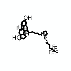 C[C@]1(O)CC[C@H]2[C@@H]3[C@H](CCCCCN4CCC[C@H]4CSCCCC(F)(F)C(F)(F)F)Cc4cc(O)ccc4[C@H]3[C@@H](F)C[C@@]21C